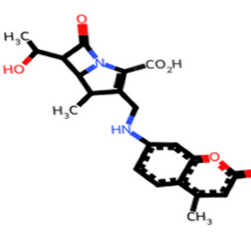 Cc1cc(=O)oc2cc(NCC3=C(C(=O)O)N4C(=O)C(C(C)O)C4C3C)ccc12